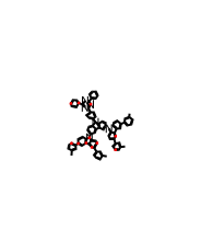 Cc1cccc(-c2ccc3c(c2)c2cc(-c4cccc(C)c4)ccc2n3-c2ccc3c(c2)c2cc(-n4c5ccc(-c6cccc(C)c6)cc5c5cc(-c6cccc(C)c6)ccc54)ccc2n3-c2ccc(-c3nc(-c4ccccc4)nc(-c4ccccc4)n3)cc2)c1